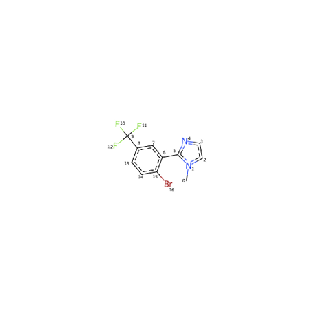 Cn1ccnc1-c1cc(C(F)(F)F)ccc1Br